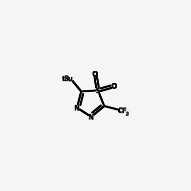 CC(C)(C)C1=NN=C(C(F)(F)F)S1(=O)=O